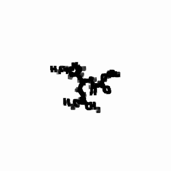 CN(C)CCN(SNC(=O)OC(C)(C)C)c1cnn(C)c1